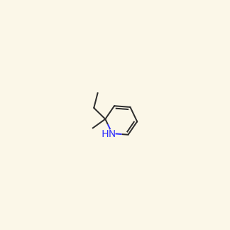 CCC1(C)C=CC=CN1